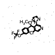 COC(c1ccc(OC(F)(F)F)cc1)c1c(Cl)cncc1-n1nccn1